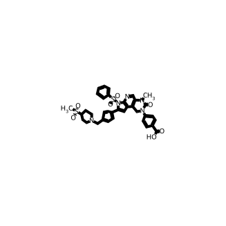 CN1C(=O)N(c2ccc(C(=O)O)cc2)Cc2c1cnc1c2cc(-c2ccc(CN3CCC(S(C)(=O)=O)CC3)cc2)n1S(=O)(=O)c1ccccc1